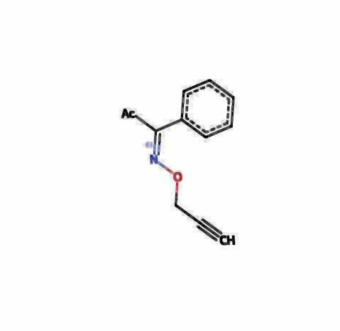 C#CCO/N=C(/C(C)=O)c1ccccc1